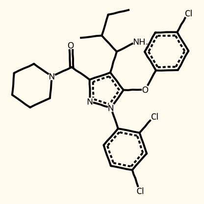 CCC(C)C(N)c1c(C(=O)N2CCCCC2)nn(-c2ccc(Cl)cc2Cl)c1Oc1ccc(Cl)cc1